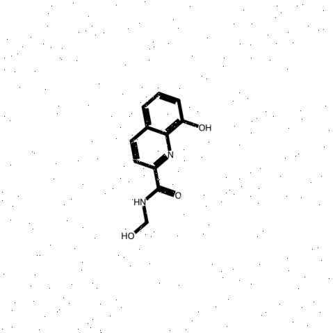 O=C(NCO)c1ccc2cccc(O)c2n1